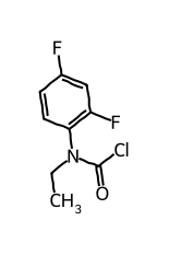 CCN(C(=O)Cl)c1ccc(F)cc1F